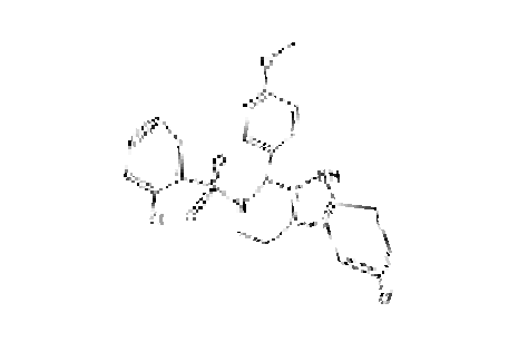 COc1ccc(C2c3[nH]c4c(c3CCN2S(=O)(=O)c2ccccc2Cl)C=C(Cl)CC4)cc1